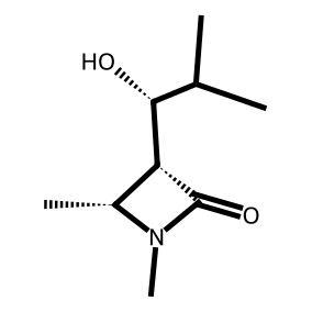 CC(C)[C@@H](O)[C@@H]1C(=O)N(C)[C@@H]1C